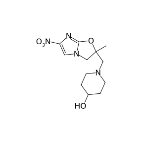 CC1(CN2CCC(O)CC2)Cn2cc([N+](=O)[O-])nc2O1